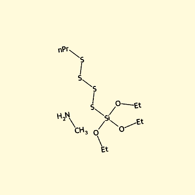 CCCSSSS[Si](OCC)(OCC)OCC.CN